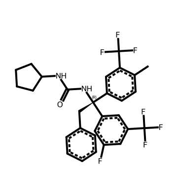 Cc1ccc([C@@](Cc2ccccc2)(NC(=O)NC2CCCC2)c2cc(F)cc(C(F)(F)F)c2)cc1C(F)(F)F